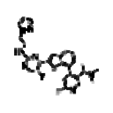 CC(c1cnc(F)cc1-c1cccc2cc(-c3nc(NCCn4ccnn4)ncc3F)sc12)N(C)C